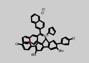 CC(C)(C)c1cc2c(cc1-c1ccc(Cl)cc1)[CH]([Zr+2]([C]1=CC=CC1)=[C](c1ccc3ccccc3c1)c1ccc3ccccc3c1)c1cc(-c3ccc(Cl)cc3)c(C(C)(C)C)cc1-2.[Cl-].[Cl-]